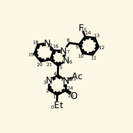 CCc1cnc(-c2nn(Cc3ccccc3F)c3ncccc23)n(C(C)=O)c1=O